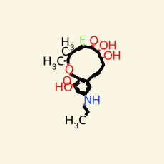 CCCNc1cc(O)c2c(c1)/C=C/C[C@H](O)[C@H](O)C(=O)/C(F)=C\[C@H](C)[C@H](C)OC2=O